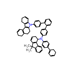 CC1(C)C2=C(c3ccccc31)C(N(c1ccc(C3=CC=CCC3)cc1)c1ccc(-c3ccccc3-c3ccc(-n4c5c(c6c4CCC4=C6C=CCC4)CCC=C5)cc3)cc1)CC=C2